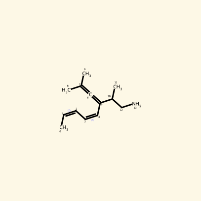 C/C=C\C=C/C(=C=C(C)C)C(C)CN